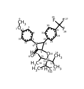 COc1ccc(N2C(=O)C(O[Si](C(C)C)(C(C)C)C(C)C)C2c2ccc(C(F)(F)F)cc2)cc1